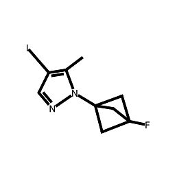 Cc1c(I)cnn1C12CC(F)(C1)C2